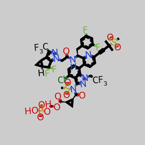 CC(C)(C#Cc1ccc(-c2ccc(Cl)c3c(N(C(=O)[C@H]4C[C@H]4C(=O)OCOP(=O)(O)O)S(C)(=O)=O)nn(CC(F)(F)F)c23)c([C@H](Cc2cc(F)cc(F)c2)NC(=O)Cn2nc(C(F)(F)F)c3c2C(F)(F)[C@@H]2CC32)n1)S(C)(=O)=O